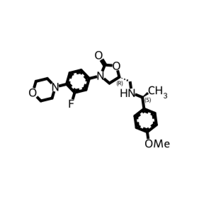 COc1ccc([C@H](C)NC[C@@H]2CN(c3ccc(N4CCOCC4)c(F)c3)C(=O)O2)cc1